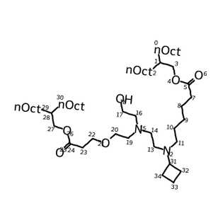 CCCCCCCCC(CCCCCCCC)COC(=O)CCCCCN(CCN(CCO)CCOCCC(=O)OCC(CCCCCCCC)CCCCCCCC)C1CCC1